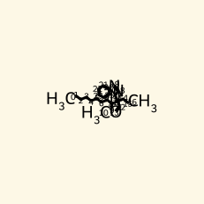 CCCCCCCCC(CC)C(C=O)(CCC)n1nnc2ccccc21